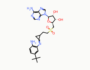 CC(C)(C)c1ccc(N)c(/N=C2\CC2CCS(=O)(=O)C[C@H]2O[C@@H](n3cnc4c(N)ncnc43)[C@H](O)[C@@H]2O)c1